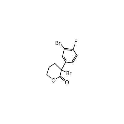 O=C1OCCCC1(Br)c1ccc(F)c(Br)c1